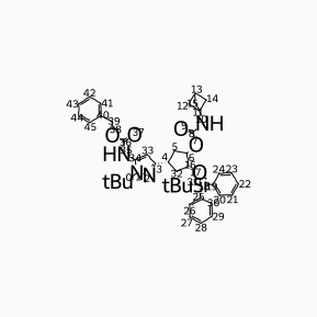 CC(C)(C)n1nc([C@@H]2C[C@H](OC(=O)NC34CC(C3)C4)[C@H](O[Si](c3ccccc3)(c3ccccc3)C(C)(C)C)C2)cc1NC(=O)OCc1ccccc1